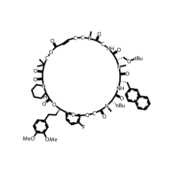 CCCC[C@H]1C(=O)N[C@@H](Cc2ccc3ccccc3c2)C(=O)N(C)[C@@H](COC(C)(C)C)C(=O)NCC(=O)N(C)CC/C=C/C(=O)OCC(C)(C)C(=O)C(=O)N2CCCC[C@H]2C(=O)O[C@H](CCc2ccc(OC)c(OC)c2)c2ccc(F)c(c2)OCC(=O)N1C